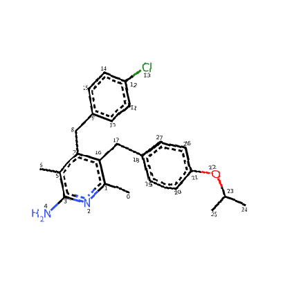 Cc1nc(N)c(C)c(Cc2ccc(Cl)cc2)c1Cc1ccc(OC(C)C)cc1